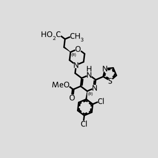 COC(=O)C1=C(CN2CCO[C@H](CC(C)C(=O)O)C2)NC(c2nccs2)=N[C@H]1c1ccc(Cl)cc1Cl